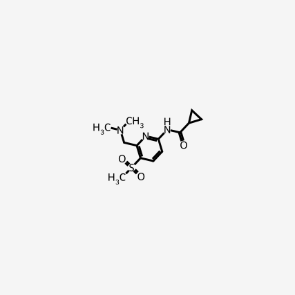 CN(C)Cc1nc(NC(=O)C2CC2)ccc1S(C)(=O)=O